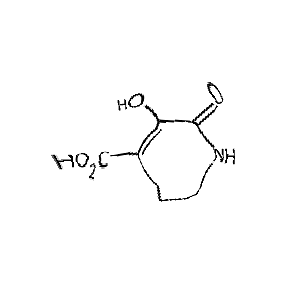 O=C(O)C1=C(O)C(=O)NCC1